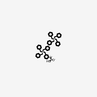 [O-]B([O-])O.c1ccc(C[P+](Cc2ccccc2)(Cc2ccccc2)Cc2ccccc2)cc1.c1ccc(C[P+](Cc2ccccc2)(Cc2ccccc2)Cc2ccccc2)cc1